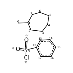 CC1CCCCCC1.O=S(=O)(Cl)c1ccccc1